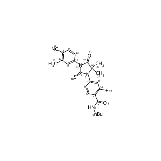 CCCCNC(=O)c1ccc(N2C(=S)N(c3ccc(C#N)c(C)c3)C(=O)C2(C)C)cc1F